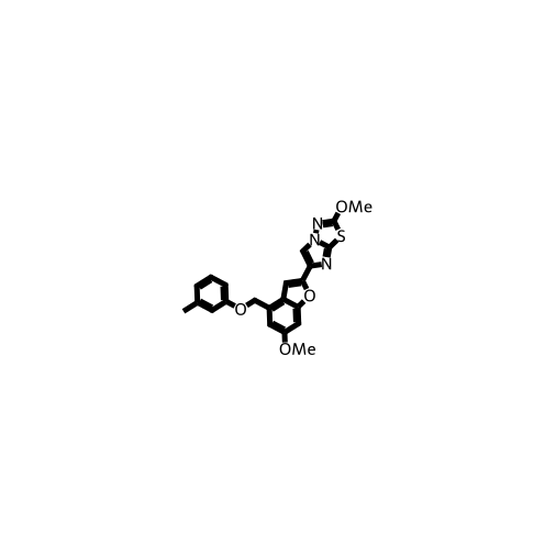 COc1cc(COc2cccc(C)c2)c2cc(-c3cn4nc(OC)sc4n3)oc2c1